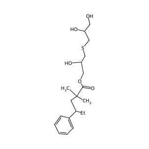 CCC(CC(C)(C)C(=O)OCC(O)CSCC(O)CO)c1ccccc1